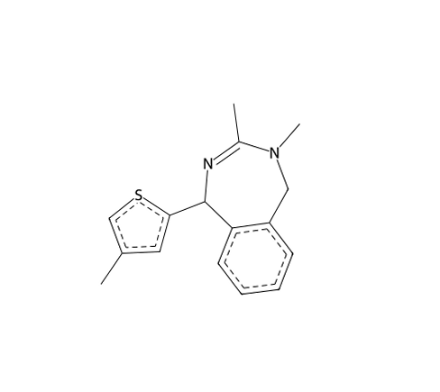 CC1=NC(c2cc(C)cs2)c2ccccc2CN1C